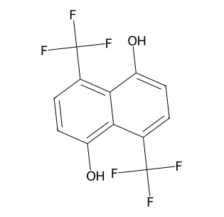 Oc1ccc(C(F)(F)F)c2c(O)ccc(C(F)(F)F)c12